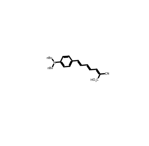 CCCCN(CCCC)c1ccc(C=CC=CC=C(C#N)C(=O)O)cc1